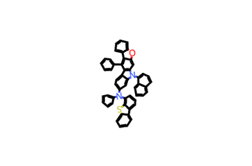 c1ccc(-c2c3c(cc4c2c2ccc(N(c5ccccc5)c5cccc6c5sc5ccccc56)cc2n4-c2cccc4ccccc24)oc2ccccc23)cc1